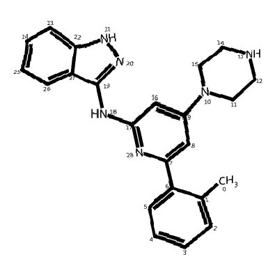 Cc1ccccc1-c1cc(N2CCNCC2)cc(Nc2n[nH]c3ccccc23)n1